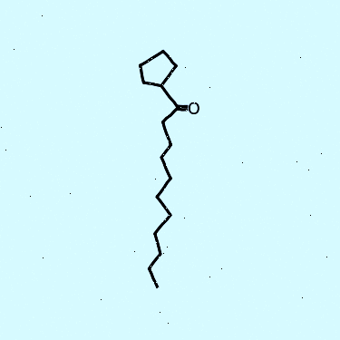 CCCCCCCCCCC(=O)C1CCCC1